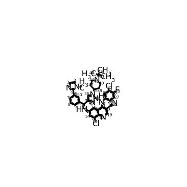 Cn1ccnc1-c1cccc(C(Nc2cc(Cl)c3ncc(C#N)c(Nc4ccc(F)c(Cl)c4)c3c2)c2cn(C3CCN(C(C)(C)C)CC3)nn2)c1